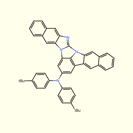 CC(C)(C)c1ccc(N(c2ccc(C(C)(C)C)cc2)c2cc3c4cc5ccccc5cc4n4c3c(c2)n2c3cc5ccccc5cc3nc24)cc1